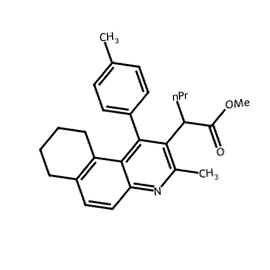 CCCC(C(=O)OC)c1c(C)nc2ccc3c(c2c1-c1ccc(C)cc1)CCCC3